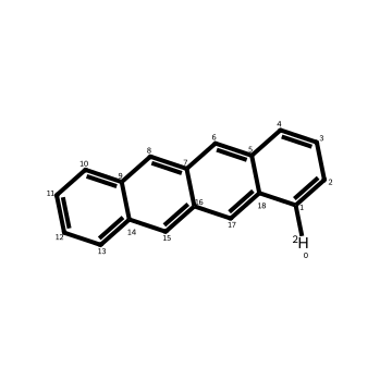 [2H]c1cccc2cc3cc4ccccc4cc3cc12